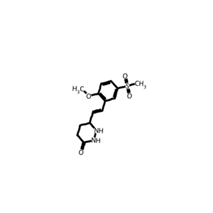 COc1ccc(S(C)(=O)=O)cc1/C=C/C1CCC(=O)NN1